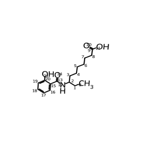 CCC(CCCCCCC(=O)O)NC(=O)c1ccccc1O